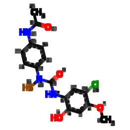 COc1cc(O)c(NC(=O)N(S)c2ccc(NC(C)=O)cc2)cc1Cl